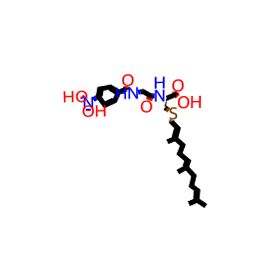 CC(C)=CCC/C(C)=C/CC/C(C)=C/CSC[C@H](NC(=O)CNC(=O)c1ccc(N(O)O)cc1)C(=O)O